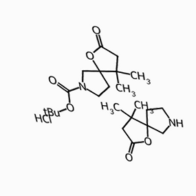 CC(C)(C)OC(=O)N1CCC2(C1)OC(=O)CC2(C)C.CC1(C)CC(=O)OC12CCNC2.Cl